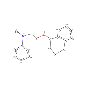 CCN(CCOC1CCCc2ccccc21)c1ccccc1